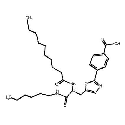 CCCCCCCCCC(=O)N[C@@H](Cc1nnc(-c2ccc(C(=O)O)cc2)o1)C(=O)NCCCCCC